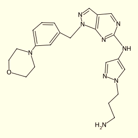 NCCCn1cc(Nc2ncc3cnn(Cc4cccc(N5CCOCC5)c4)c3n2)cn1